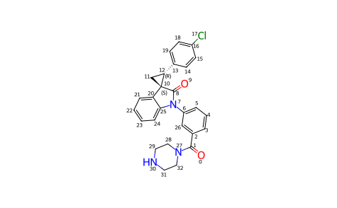 O=C(c1cccc(N2C(=O)[C@]3(C[C@@H]3c3ccc(Cl)cc3)c3ccccc32)c1)N1CCNCC1